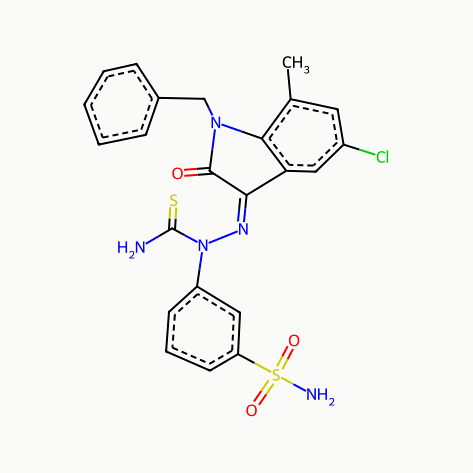 Cc1cc(Cl)cc2c1N(Cc1ccccc1)C(=O)/C2=N\N(C(N)=S)c1cccc(S(N)(=O)=O)c1